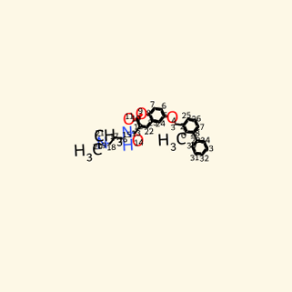 Cc1c(COc2ccc3oc(=O)c(C(=O)NCCCN(C)C)cc3c2)cccc1-c1ccccc1